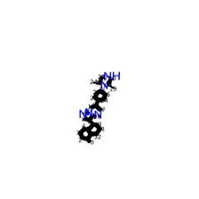 Cc1cccc2c(-c3cnn4cc(-c5ccc(N6[C@H](C)CNC[C@@H]6C)cc5)cnc34)cccc12